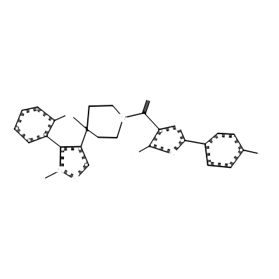 Cc1nc(-c2ccc(Cl)cc2)sc1C(=O)N1CCC2(CC1)Oc1ccccc1-c1c2cnn1C